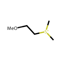 COCC[S+](C)C